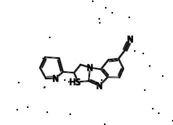 N#Cc1ccc2nc3n(c2c1)CC(c1ccccn1)[SH]3